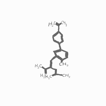 C=C(C)C/C(=C\c1cc(-c2ccc(C(=C)C)cc2)ccc1C)C(=C)C